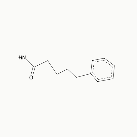 [NH]C(=O)CCCCc1ccccc1